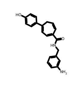 Nc1cccc(CNC(=O)C2=CC=C(c3ccc(O)cc3)CC=C2)c1